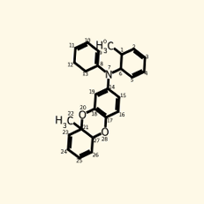 CC1C=CC=CC1N(C1=CC=CCC1)c1ccc2c(c1)OC1(C)C=CC=CC1O2